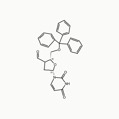 O=CC1C[C@@H](n2ccc(=O)[nH]c2=O)O[C@H]1COC(c1ccccc1)(c1ccccc1)c1ccccc1